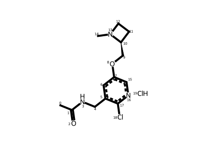 CC(=O)NCc1cc(OC[C@@H]2CCN2C)cnc1Cl.Cl